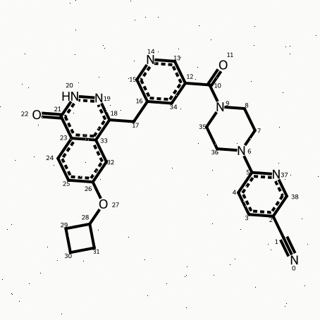 N#Cc1ccc(N2CCN(C(=O)c3cncc(Cc4n[nH]c(=O)c5ccc(OC6CCC6)cc45)c3)CC2)nc1